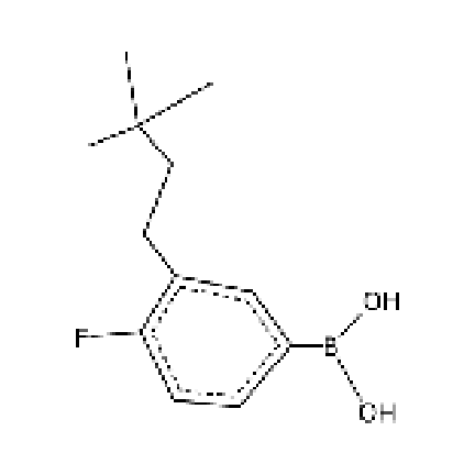 CC(C)(C)CCc1cc(B(O)O)ccc1F